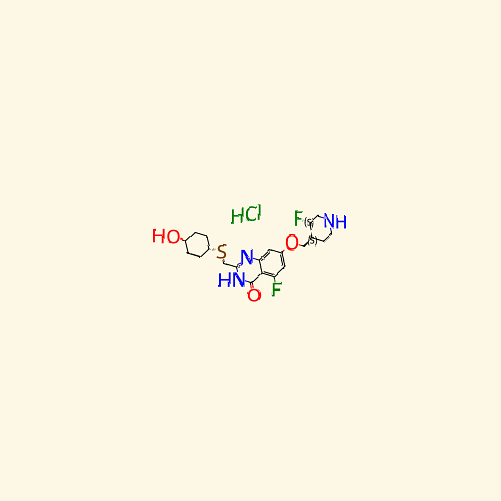 Cl.O=c1[nH]c(CS[C@H]2CC[C@H](O)CC2)nc2cc(OC[C@@H]3CCNC[C@H]3F)cc(F)c12